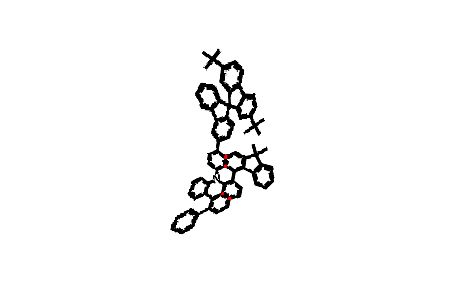 CC(C)(C)c1ccc2c(c1)C1(c3ccccc3-c3cc(-c4ccc(N(c5ccccc5-c5ccccc5-c5ccccc5)c5ccccc5-c5cccc6c5-c5ccccc5C6(C)C)cc4)ccc31)c1cc(C(C)(C)C)ccc1-2